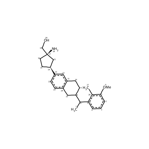 COc1cccc(C(C)C2CCc3cc([C@H]4CC[C@](N)(CO)C4)ccc3C2)c1C